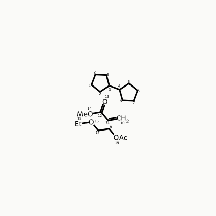 C1CCC(C2CCCC2)C1.C=CC(=O)OC.CCOCCOC(C)=O